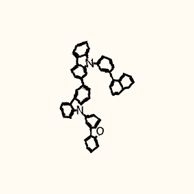 c1cc(-c2cccc3ccccc23)cc(-n2c3ccccc3c3ccc(-c4ccc5c(c4)c4ccccc4n5-c4ccc5oc6ccccc6c5c4)cc32)c1